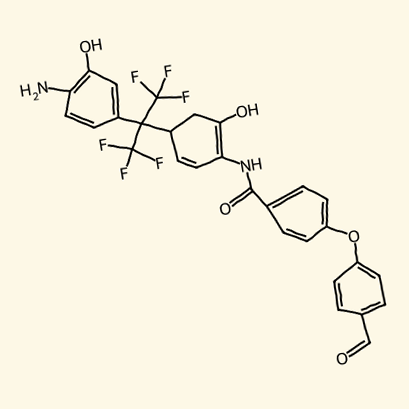 Nc1ccc(C(C2C=CC(NC(=O)c3ccc(Oc4ccc(C=O)cc4)cc3)=C(O)C2)(C(F)(F)F)C(F)(F)F)cc1O